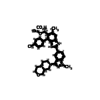 Cc1cc2nc(-c3ccc4c(c3)c(N3CCN5CCOCC5C3)nn4C)sc2c(-c2ccc(Cl)cc2)c1[C@H](OC(C)(C)C)C(=O)O